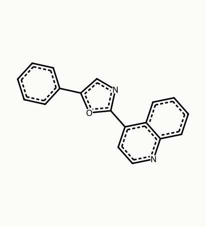 c1ccc(-c2cnc(-c3ccnc4ccccc34)o2)cc1